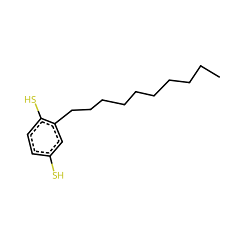 CCCCCCCCCCc1cc(S)ccc1S